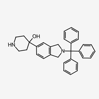 OC1(c2ccc3c(c2)CN(C(c2ccccc2)(c2ccccc2)c2ccccc2)C3)CCNCC1